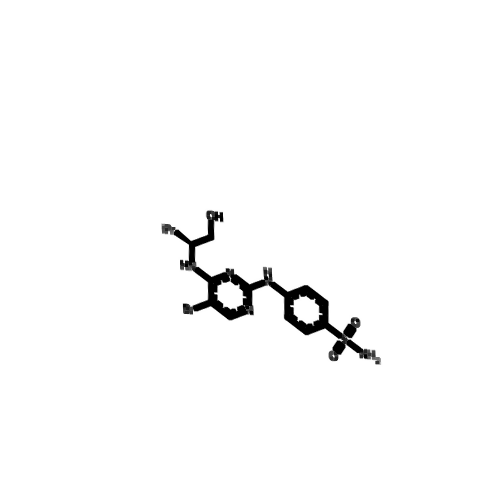 CC(C)[C@@H](CO)Nc1nc(Nc2ccc(S(N)(=O)=O)cc2)ncc1Br